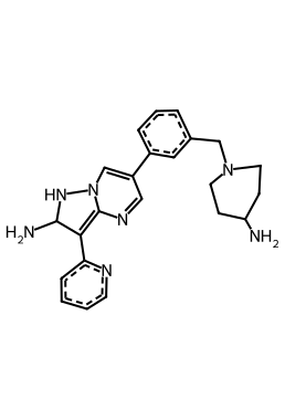 NC1CCN(Cc2cccc(C3=CN4NC(N)C(c5ccccn5)=C4N=C3)c2)CC1